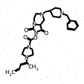 C=C/C=C(\C)N1CCN(C(=O)ON2C(=O)C3CN(CC4CCN(Cc5ccccc5)CC4)CCN3C2=O)CC1